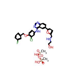 CS(=O)(=O)O.CS(=O)(=O)O.OCCNCc1ccc(-c2ccc3ncnc(Nc4ccc(OCc5cccc(F)c5)c(Cl)c4)c3c2)o1